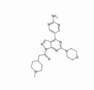 CN1CCC(CC(=O)n2ncc3c(-c4cnc(N)nc4)nc(N4CCOCC4)nc32)CC1